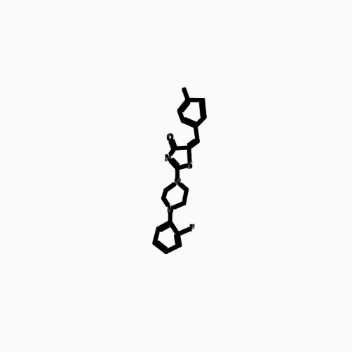 Cc1ccc(C=C2SC(N3CCN(c4ccccc4F)CC3)=NC2=O)cc1